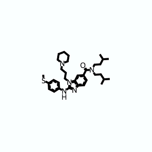 CSc1ccc(Nc2nc3ccc(C(=O)N(CCC(C)C)CCC(C)C)cc3n2CCCN2CCCCC2)cc1